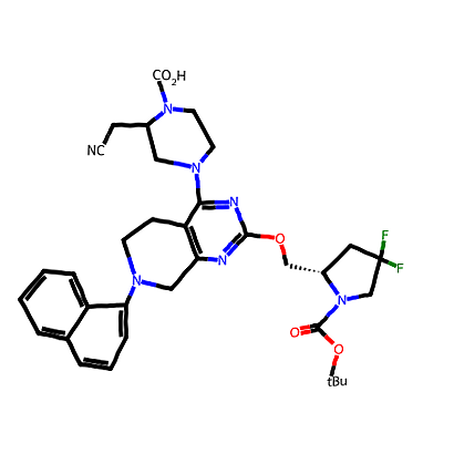 CC(C)(C)OC(=O)N1CC(F)(F)C[C@H]1COc1nc2c(c(N3CCN(C(=O)O)C(CC#N)C3)n1)CCN(c1cccc3ccccc13)C2